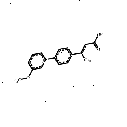 COc1cccc(-c2ccc(C(C)=CC(=O)O)cc2)c1